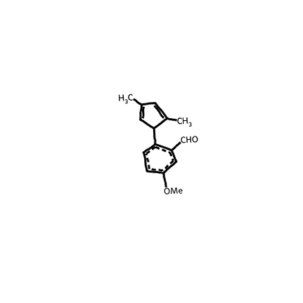 COc1ccc(C2C=C(C)C=C2C)c(C=O)c1